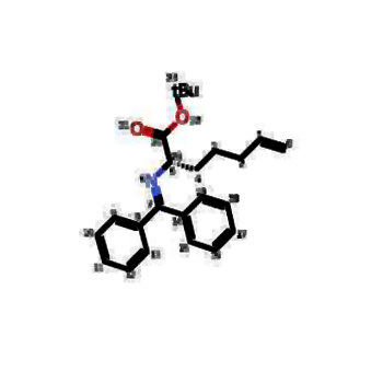 C=CCCC[C@H](N=C(c1ccccc1)c1ccccc1)C(=O)OC(C)(C)C